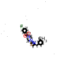 Cc1cccc(Cc2csc(N3CCN(S(=O)(=O)c4ccc(F)cc4)CC3)n2)c1